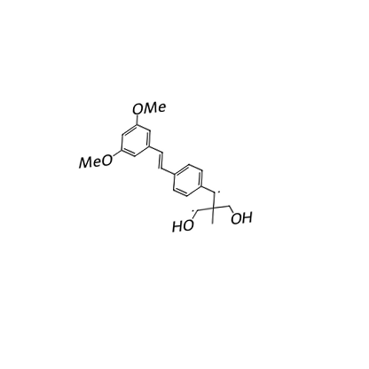 COc1cc(C=Cc2ccc([CH]C(C)([CH]O)CO)cc2)cc(OC)c1